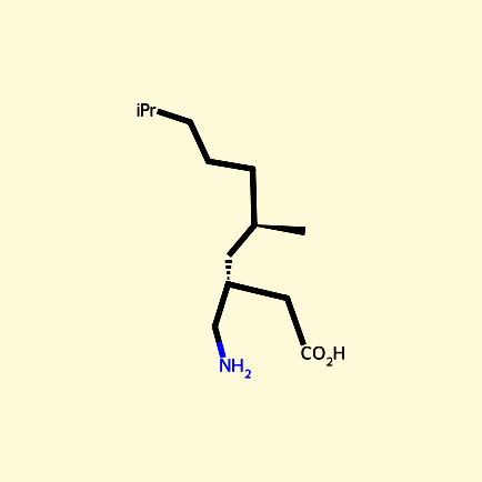 CC(C)CCC[C@@H](C)C[C@@H](CN)CC(=O)O